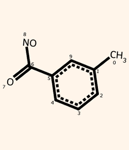 Cc1cccc(C(=O)N=O)c1